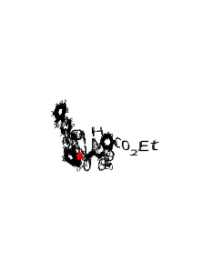 CCOC(=O)C1CCC(N[C@@H](CCS(C)(=O)=O)C(=O)NC2CC3CCC2(CS(=O)(=O)N2CCN(c4ccccc4C)CC2)C3(C)C)CC1